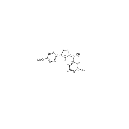 COc1ccc([C@@H]2CC[C@H]([C@H](O)c3cncc(F)c3)N2)cc1